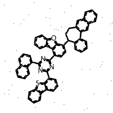 c1ccc2c(c1)-c1cc3ccccc3cc1CCC2c1ccc(-c2nc(-c3cccc4ccccc34)nc(-c3cccc4c3sc3ccccc34)n2)c2c1oc1ccccc12